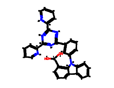 OB(O)c1cccc2c3ccccc3n(-c3cccc(-c4nc(-c5ccccn5)nc(-c5ccccn5)n4)c3)c12